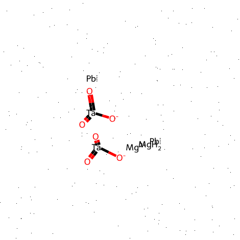 [Mg+2].[MgH2].[O]=[Ta](=[O])[O-].[O]=[Ta](=[O])[O-].[Pb].[Pb]